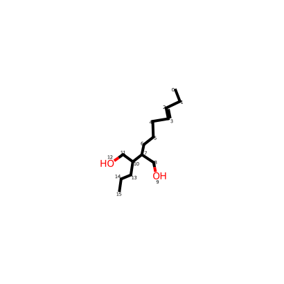 CCC=CCCCC(CO)C(CO)CCC